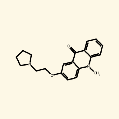 Cn1c2ccccc2c(=O)c2cc(OCCN3CCCC3)ccc21